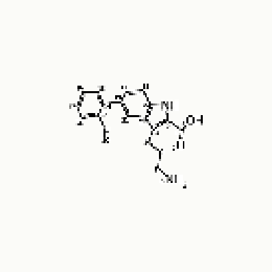 NCCCc1c(C(=O)O)[nH]c2ccc(-c3ccccc3F)cc12